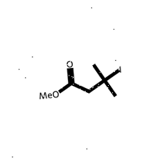 COC(=O)CC(C)(C)I